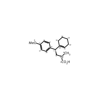 COc1ccc([C@H](CN(C)C(=O)O)C2=CCCCC2)cc1